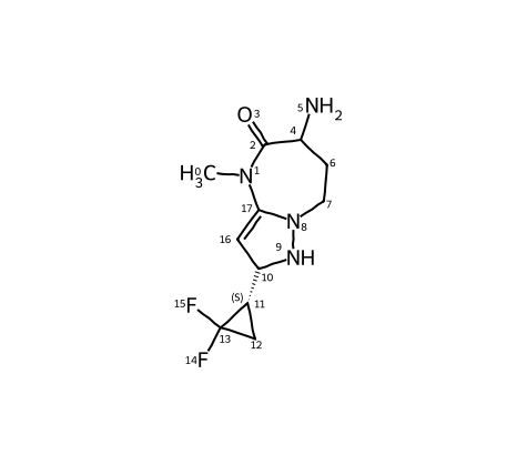 CN1C(=O)C(N)CCN2NC([C@@H]3CC3(F)F)C=C21